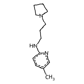 Cc1ccc(NCCCN2CCCC2)nc1